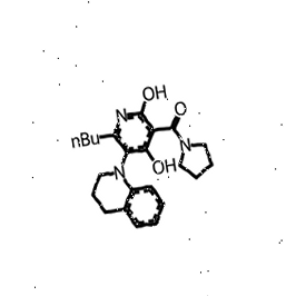 CCCCc1nc(O)c(C(=O)N2CCCC2)c(O)c1N1CCCc2ccccc21